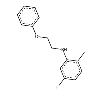 Cc1ccc(F)cc1BCCOc1ccccc1